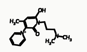 Cc1cc(O)n(CCCN(C)C)c(=O)c1-[n+]1ccccc1